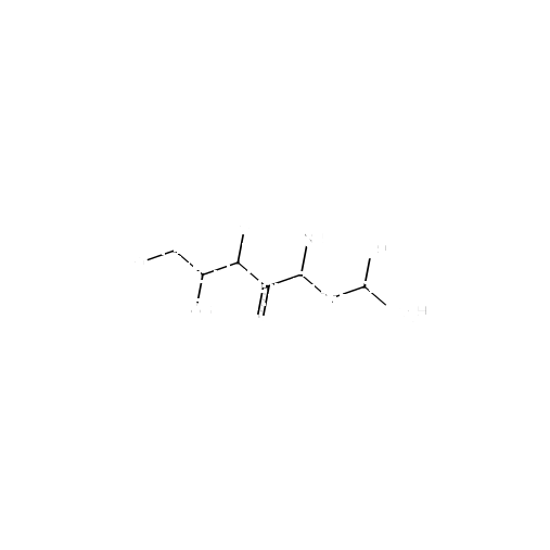 CC(NC(N)C(=O)C(O)C(O)CO)C(=O)O